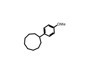 COc1ccc(C2CCCCCCCC2)cc1